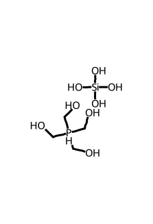 OC[PH](CO)(CO)CO.O[Si](O)(O)O